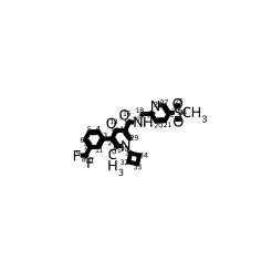 Cc1c(-c2cccc(C(F)F)c2)c(=O)c(C(=O)NCc2ccc(S(C)(=O)=O)cn2)cn1C1CCC1